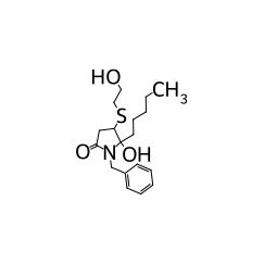 CCCCCC1(O)C(SCCO)CC(=O)N1Cc1ccccc1